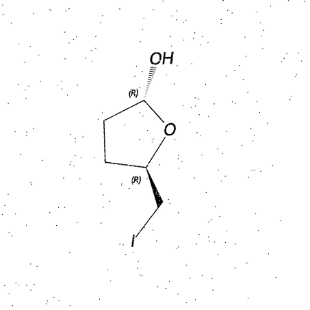 O[C@H]1CC[C@H](CI)O1